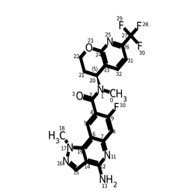 CN(C(=O)c1cc2c(cc1F)nc(N)c1cnn(C)c12)[C@H]1CCOc2nc(C(F)(F)F)ccc21